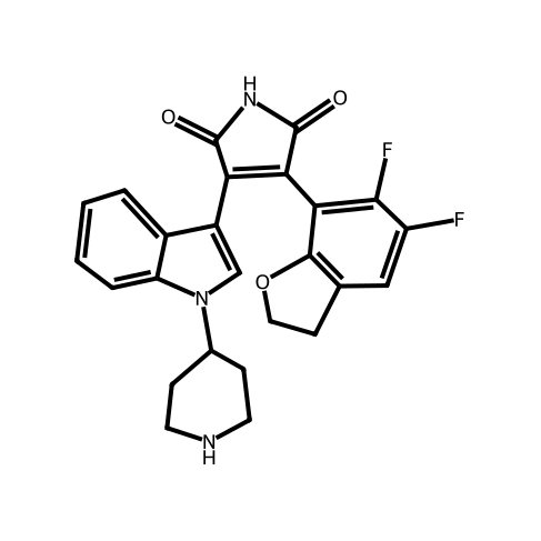 O=C1NC(=O)C(c2cn(C3CCNCC3)c3ccccc23)=C1c1c(F)c(F)cc2c1OCC2